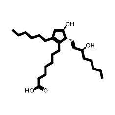 CCCCCCC1=C(CCCCCCC(=O)O)[C@@H](/C=C/[C@@H](O)CCCCC)[C@H](O)C1